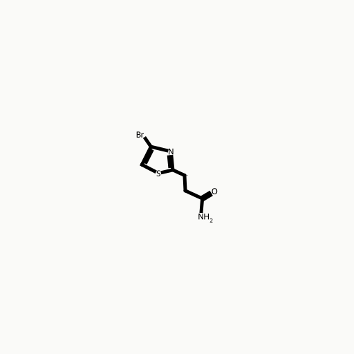 NC(=O)C[CH]c1nc(Br)cs1